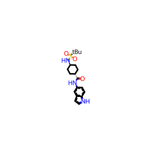 CC(C)(C)S(=O)(=O)N[C@H]1CC[C@H](C(=O)Nc2ccc3[nH]ccc3c2)CC1